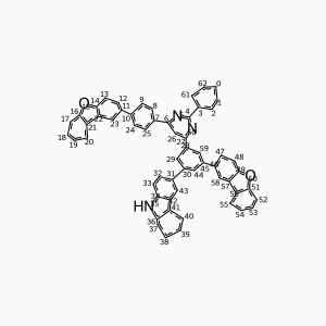 c1ccc(-c2nc(-c3ccc(-c4ccc5oc6ccccc6c5c4)cc3)cc(-c3cc(-c4ccc5[nH]c6ccccc6c5c4)cc(-c4ccc5oc6ccccc6c5c4)c3)n2)cc1